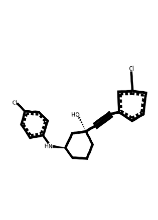 O[C@]1(C#Cc2cccc(Cl)c2)CCC[C@@H](Nc2ccc(Cl)cc2)C1